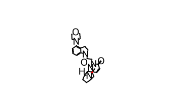 CC1CC2CC[C@@H](C1)N2c1ccc(=O)n(CC(=O)N2CCc3c(N4CCOCC4)cccc32)n1